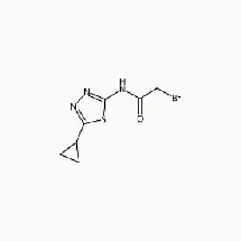 O=C(CBr)Nc1nnc(C2CC2)s1